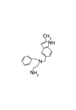 Cc1cc2cc(CN(CCN)Cc3ccccc3)ccc2[nH]1